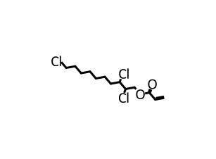 C=CC(=O)OCC(Cl)C(Cl)CCCCCCCCl